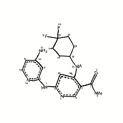 CNC(=O)c1cnc(Nc2cc(N)ccn2)cc1NC1CCC(F)(F)CC1